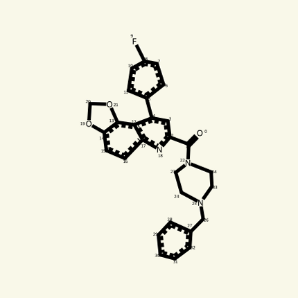 O=C(c1cc(-c2ccc(F)cc2)c2c3c(ccc2n1)OCO3)N1CCN(Cc2ccccc2)CC1